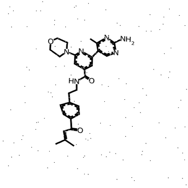 CC(C)=CC(=O)c1ccc(CCNC(=O)c2cc(-c3cnc(N)nc3C)nc(N3CCOCC3)c2)cc1